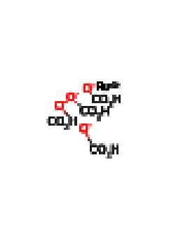 O=C([O-])O.O=C([O-])O.O=C([O-])O.O=C([O-])O.[Ru+4]